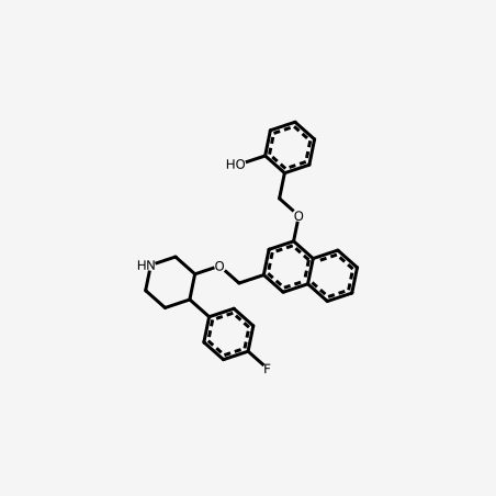 Oc1ccccc1COc1cc(COC2CNCCC2c2ccc(F)cc2)cc2ccccc12